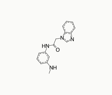 CNc1cccc(NC(=O)Cn2cnc3ccccc32)c1